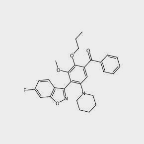 CCCOc1c(C(=O)c2ccccc2)cc(N2CCCCC2)c(-c2noc3cc(F)ccc23)c1OC